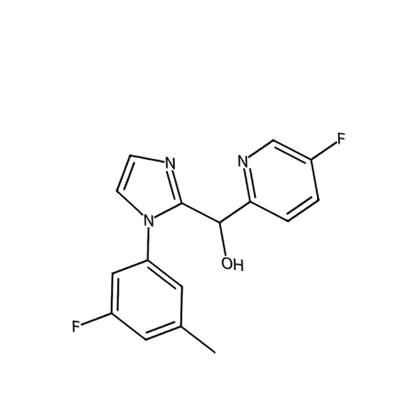 Cc1cc(F)cc(-n2ccnc2C(O)c2ccc(F)cn2)c1